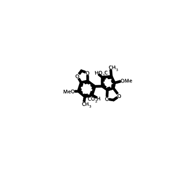 COc1c(C)c(C(=O)O)c(-c2c3c(c(OC)c(C)c2C(=O)O)OCO3)c2c1OCO2